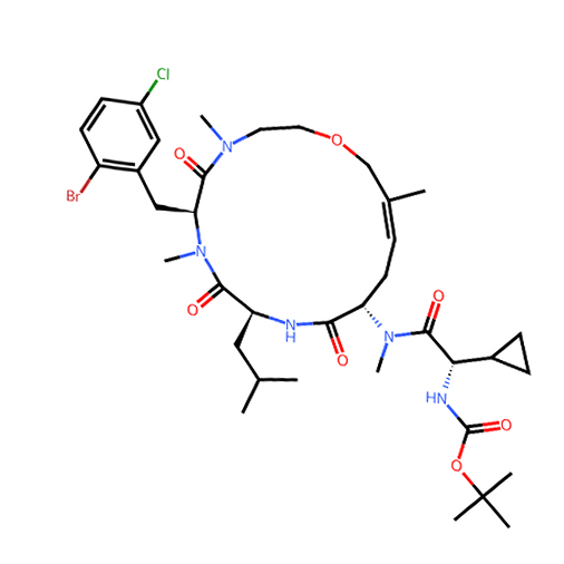 CC1=CC[C@H](N(C)C(=O)[C@@H](NC(=O)OC(C)(C)C)C2CC2)C(=O)N[C@@H](CC(C)C)C(=O)N(C)[C@@H](Cc2cc(Cl)ccc2Br)C(=O)N(C)CCOC1